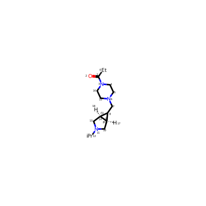 CCC(=O)N1CCN(CC2[C@H]3CN(C(C)C)C[C@@H]23)CC1